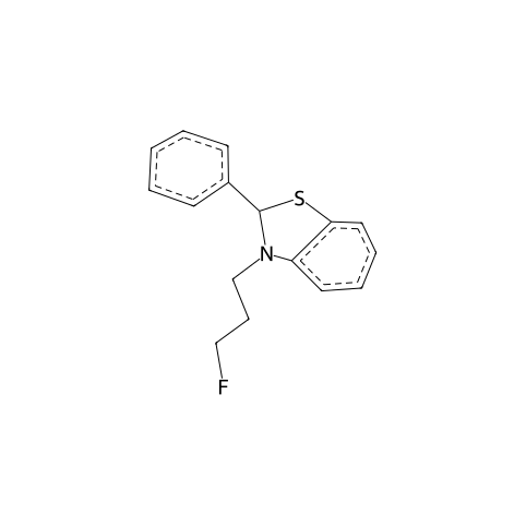 FCCCN1c2ccccc2SC1c1ccccc1